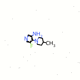 CC1CCN(c2c(N)cncc2F)CC1